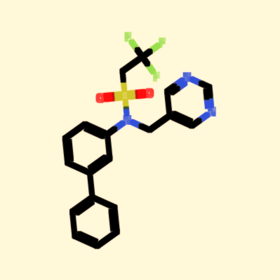 O=S(=O)(CC(F)(F)F)N(Cc1cncnc1)c1cccc(-c2ccccc2)c1